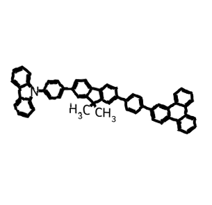 CC1(C)c2cc(-c3ccc(-c4ccc5c6ccccc6c6ccccc6c5c4)cc3)ccc2-c2ccc(-c3ccc(-n4c5ccccc5c5ccccc54)cc3)cc21